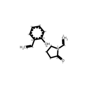 C=CN1CCCC1=O.C=Cc1ccccc1O